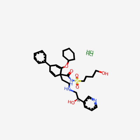 Cl.Cl.O=C(NS(=O)(=O)CCCCO)C1(CCNC[C@H](O)c2cccnc2)C=CC(c2ccccc2)C=C1OC1CCCCC1